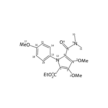 CCOC(=O)c1c(OC)c(OC)c(C(=O)N(C)C)n1-c1ccc(OC)cc1